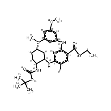 CCOC(=O)c1cc(F)c(N[C@@H]2CCCC[C@@H]2NC(=O)OC(C)(C)C)nc1Nc1cc(OC)cc(OC)c1